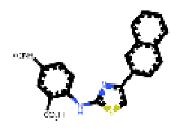 CC(=O)Nc1ccc(Nc2nc(-c3ccc4ccccc4c3)cs2)c(C(=O)O)c1